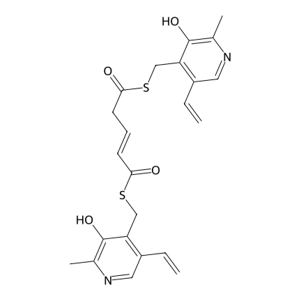 C=Cc1cnc(C)c(O)c1CSC(=O)C=CCC(=O)SCc1c(C=C)cnc(C)c1O